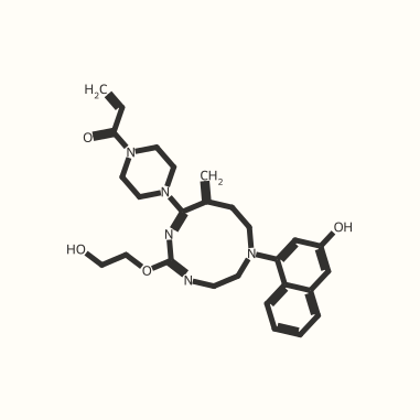 C=CC(=O)N1CCN(/C2=N/C(OCCO)=N\CCN(c3cc(O)cc4ccccc34)CCC2=C)CC1